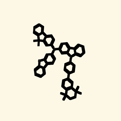 CC1(C)CCC(C)(C)c2cc(-c3ccc(-n4c5ccccc5c5ccc(N(c6ccc7c(c6)C(C)(C)c6ccccc6-7)c6ccc7c(c6)oc6ccccc67)cc54)cc3)ccc21